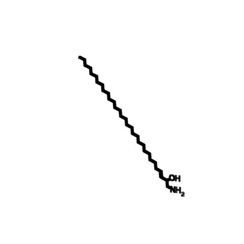 CCCCCCCCCCCCCCCCCCCCCCCCCCCC=CC(O)CN